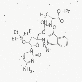 CC[Si](CC)(CC)O[C@H]1[C@H](n2ccc(N)nc2=O)O[C@@](CO[PH](=O)N(Oc2cccc3ccccc23)C(C)C(=O)OC(C)C)(N=[N+]=[N-])[C@H]1F